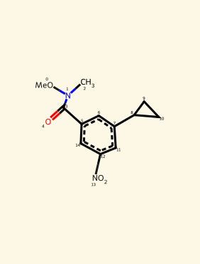 CON(C)C(=O)c1cc(C2CC2)cc([N+](=O)[O-])c1